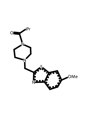 COc1ccc2nc(CN3CCN(C(=O)C(C)C)CC3)sc2c1